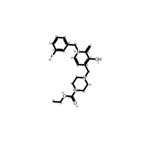 C=C1C(O)=C(CN2CCN(C(=O)OCC)CC2)C=CN1Cc1cccc(F)c1